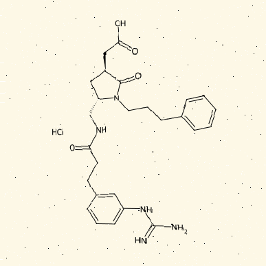 Cl.N=C(N)Nc1cccc(CCC(=O)NC[C@@H]2C[C@@H](CC(=O)O)C(=O)N2CCCc2ccccc2)c1